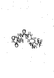 Cn1ncc(C(F)(F)F)c1CC1CCN(C(=O)N2CC3(COCC(=O)N3)C2)CC1